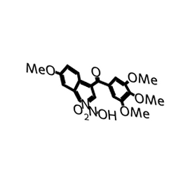 COc1ccc2c(C(=O)c3cc(OC)c(OC)c(OC)c3)cncc2c1.O=[N+]([O-])O